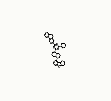 C1=CC(c2cccc3oc4ccccc4c23)C2CCC=C(c3nc(C4=CCCC=C4)nc(-c4ccc5c(ccc6ccccc65)c4)n3)C2=C1